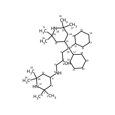 CC1(C)CC(NCC(O)C[N+](C2CCCCC2)(C2CCCCC2)C2CC(C)(C)NC(C)(C)C2)CC(C)(C)N1